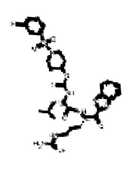 CC(C)C[C@H](NC(=O)OC1CCN(S(=O)(=O)c2cccc(F)c2)CC1)C(=O)N[C@@H](CCCNC(=N)N)C(=O)c1nc2ccccc2s1